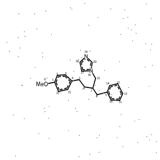 COc1ccc(CCC(Cc2ccccc2)Cn2ccnc2)cc1